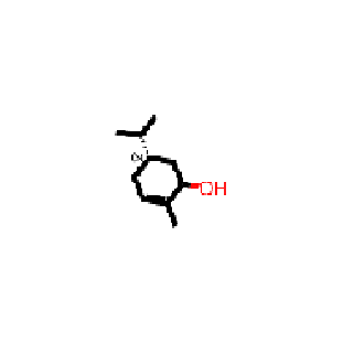 CC1=CC[C@H](C(C)C)CC1O